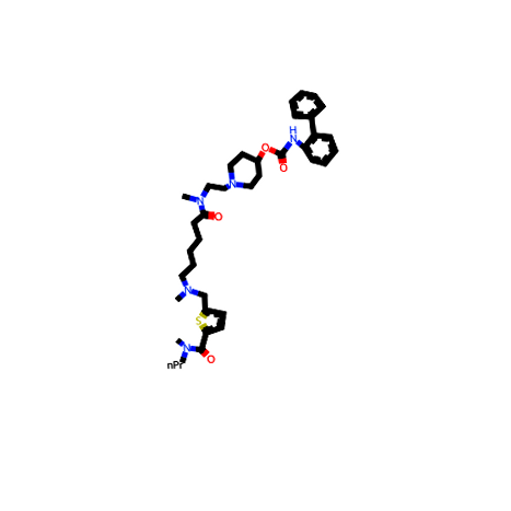 CCCN(C)C(=O)c1ccc(CN(C)CCCCCC(=O)N(C)CCN2CCC(OC(=O)Nc3ccccc3-c3ccccc3)CC2)s1